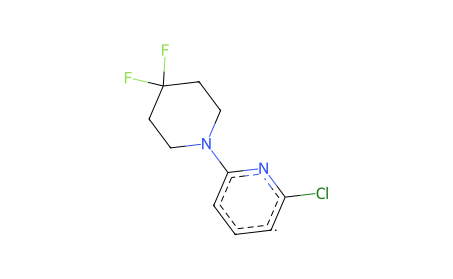 FC1(F)CCN(c2cc[c]c(Cl)n2)CC1